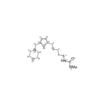 CNC(=O)NSCCSCc1ccc(CN2CCOCC2)o1